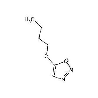 CCCCOc1[c]nno1